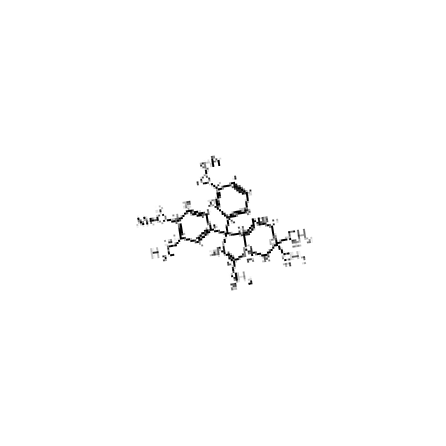 CCCOc1cccc(C2(c3ccc(OC)c(C)c3)N=C(N)N3CC(C)(C)CN=C32)c1